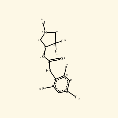 CCN1C[C@H](OC(=O)Nc2c(F)cc(F)cc2F)C(F)(F)C1